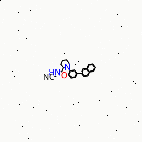 N#CCNC(=O)C1CCCCN1c1cccc(-c2ccc3ccccc3c2)c1